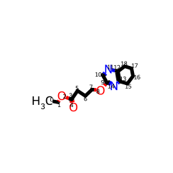 CCOC(=O)CCCOc1cnc2c(n1)CCCC2